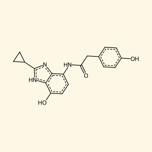 O=C(Cc1ccc(O)cc1)Nc1ccc(O)c2[nH]c(C3CC3)nc12